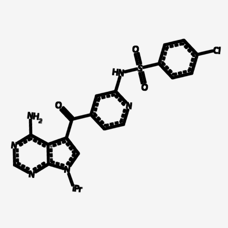 CC(C)n1cc(C(=O)c2ccnc(NS(=O)(=O)c3ccc(Cl)cc3)c2)c2c(N)ncnc21